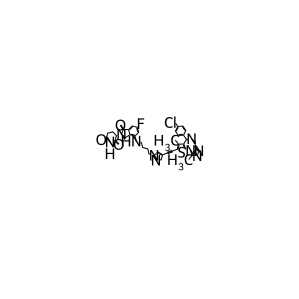 Cc1c(C#Cc2cnn(CCCCNc3cc(F)cc4c3CN(C3CCC(=O)NC3=O)C4=O)c2)sc2c1C(c1ccc(Cl)cc1)=NCc1nnc(C)n1-2